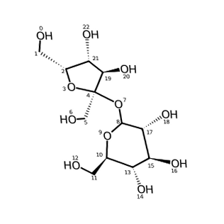 OC[C@H]1O[C@](CO)(OC2O[C@H](CO)[C@@H](O)[C@H](O)[C@H]2O)[C@H](O)[C@H]1O